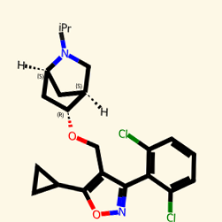 CC(C)N1C[C@@H]2C[C@H]1C[C@H]2OCc1c(-c2c(Cl)cccc2Cl)noc1C1CC1